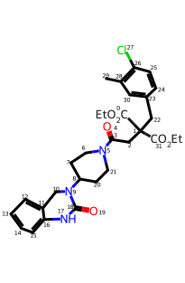 CCOC(=O)C(CC(=O)N1CCC(N2Cc3ccccc3NC2=O)CC1)(Cc1ccc(Cl)c(C)c1)C(=O)OCC